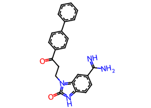 N=C(N)c1ccc2[nH]c(=O)n(CCC(=O)c3ccc(-c4ccccc4)cc3)c2c1